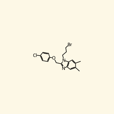 Cc1cc2nc(COc3ccc(Cl)cc3)n(CCCBr)c2cc1C